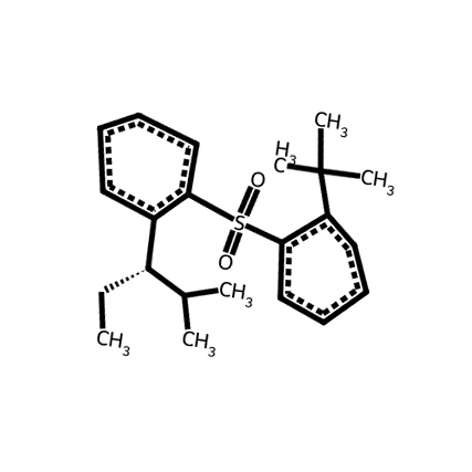 CC[C@H](c1ccccc1S(=O)(=O)c1ccccc1C(C)(C)C)C(C)C